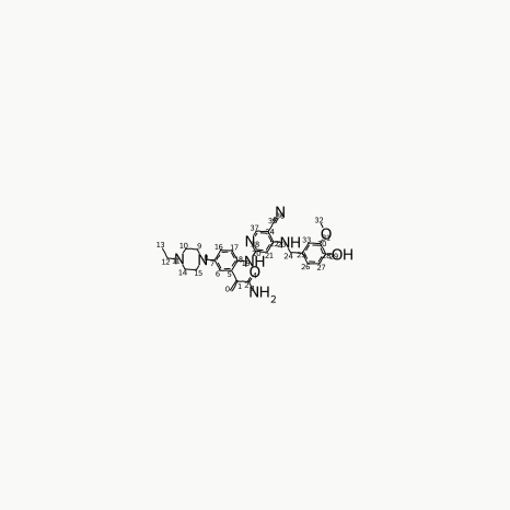 C=C(C(N)=O)c1cc(N2CCN(CC)CC2)ccc1Nc1cc(NCc2ccc(O)c(OC)c2)c(C#N)cn1